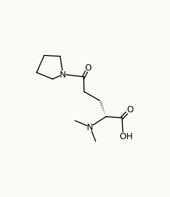 CN(C)[C@H](CCC(=O)N1CCCC1)C(=O)O